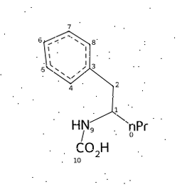 CCCC(Cc1ccccc1)NC(=O)O